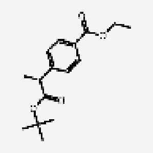 CCOC(=O)c1ccc([C@H](C)C(=O)OC(C)(C)C)cc1